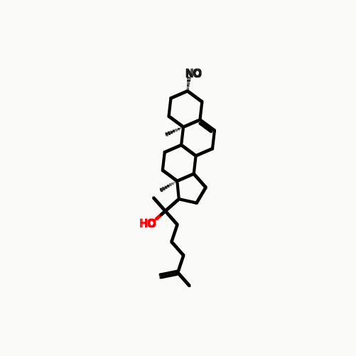 C=C(C)CCCC(C)(O)C1CCC2C3CC=C4C[C@@H](N=O)CC[C@]4(C)C3CC[C@@]21C